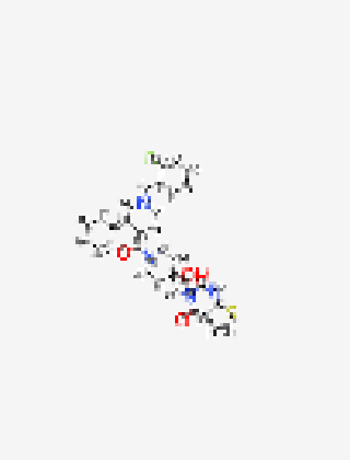 O=C([C@@H]1CCN(Cc2ccccc2F)C[C@H]1c1ccccc1)N1CCC(O)(Cn2cnc3sccc3c2=O)CC1